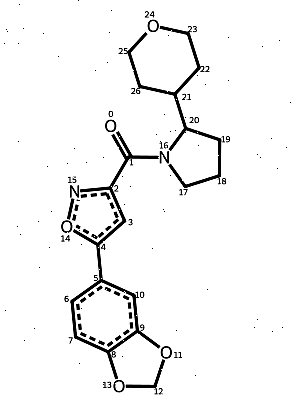 O=C(c1cc(-c2ccc3c(c2)OCO3)on1)N1CCCC1C1CCOCC1